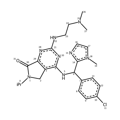 CC(C)N1Cc2c(NC(c3ccc(Cl)cc3)c3nccn3C)nc(NCCN(C)C)nc2C1=O